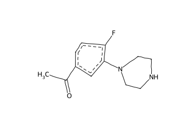 CC(=O)c1ccc(F)c(N2CCNCC2)c1